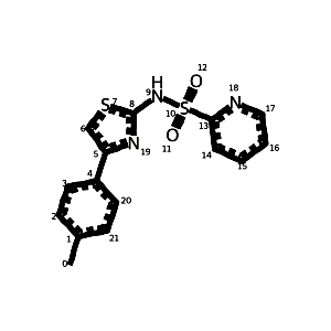 Cc1ccc(-c2csc(NS(=O)(=O)c3ccccn3)n2)cc1